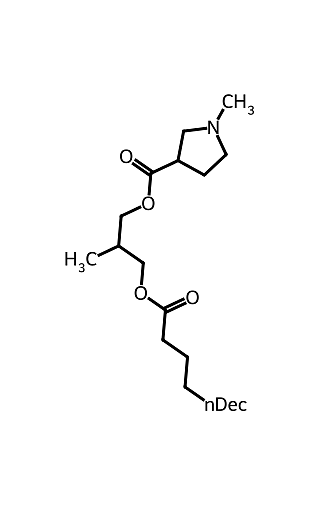 CCCCCCCCCCCCCC(=O)OCC(C)COC(=O)C1CCN(C)C1